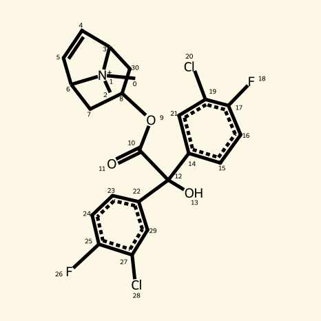 C[N+]1(C)C2C=CC1CC(OC(=O)C(O)(c1ccc(F)c(Cl)c1)c1ccc(F)c(Cl)c1)C2